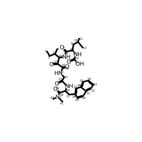 CCC(C)C(NC(=O)C(CC(C)C)NC(=O)O)C(=O)C(=O)NCC(=O)NC(Cc1ccc2ccccc2c1)C(=O)N(C)C